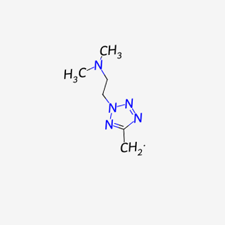 [CH2]c1nnn(CCN(C)C)n1